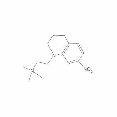 C[N+](C)(C)CCN1CCCc2ccc([N+](=O)[O-])cc21